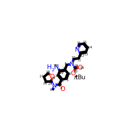 CN(C(=O)c1ccc(CN(CCc2ccccn2)C(=O)OC(C)(C)C)c(N)c1)C1CCCO1